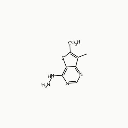 Cc1c(C(=O)O)sc2c(NN)ncnc12